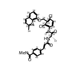 CNC(=O)c1ccc(/C=C/C(=O)N[C@@H](C)C(=O)N(C)c2ccc(Cl)c(COc3cccc4ccc(C)nc34)c2Cl)cc1